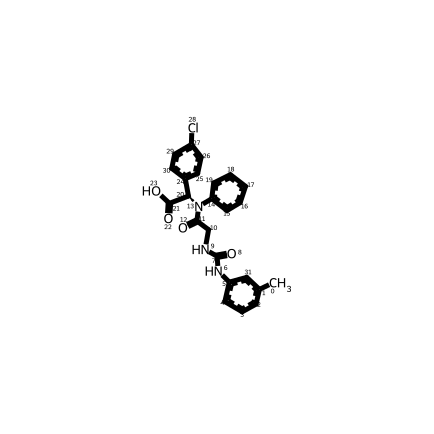 Cc1cccc(NC(=O)NCC(=O)N(c2ccccc2)[C@H](C(=O)O)c2ccc(Cl)cc2)c1